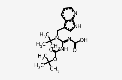 CC(C)(C)OC(=O)NC(=NC(=O)O)N(Cc1c[nH]c2ncccc12)C(C)(C)C